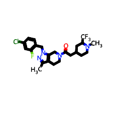 Cc1nn(Cc2ccc(Cl)cc2F)c2c1CCN(C(=O)CC1CCN(C)C(C(F)(F)F)C1)C2